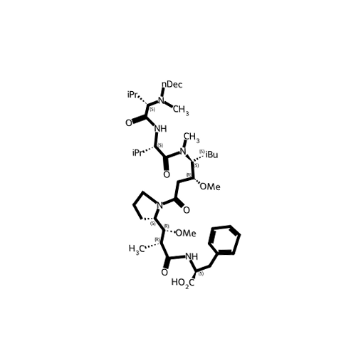 CCCCCCCCCCN(C)[C@H](C(=O)N[C@H](C(=O)N(C)[C@@H]([C@@H](C)CC)[C@@H](CC(=O)N1CCC[C@H]1[C@H](OC)[C@@H](C)C(=O)N[C@@H](Cc1ccccc1)C(=O)O)OC)C(C)C)C(C)C